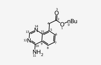 CCCCOC(=O)Cc1cccc2c(N)ncnc12